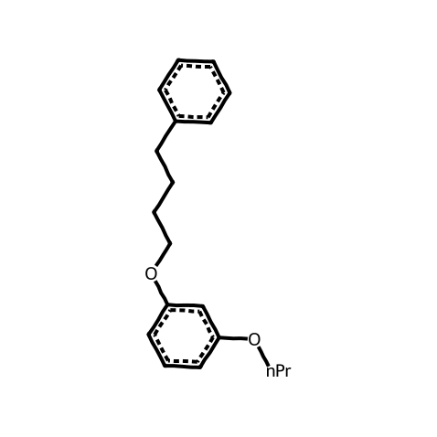 CCCOc1cccc(OCCCCc2ccccc2)c1